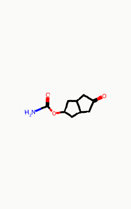 NC(=O)OC1CC2CC(=O)CC2C1